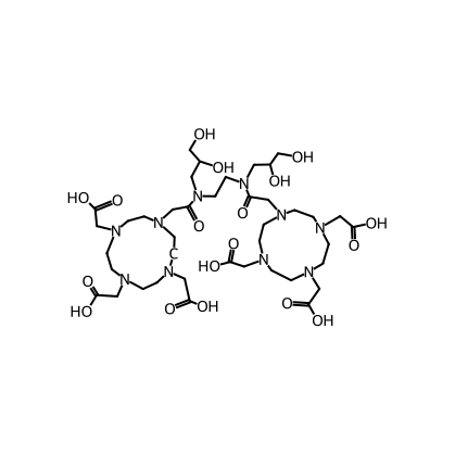 O=C(O)CN1CCN(CC(=O)O)CCN(CC(=O)N(CCN(CC(O)CO)C(=O)CN2CCN(CC(=O)O)CCN(CC(=O)O)CCN(CC(=O)O)CC2)CC(O)CO)CCN(CC(=O)O)CC1